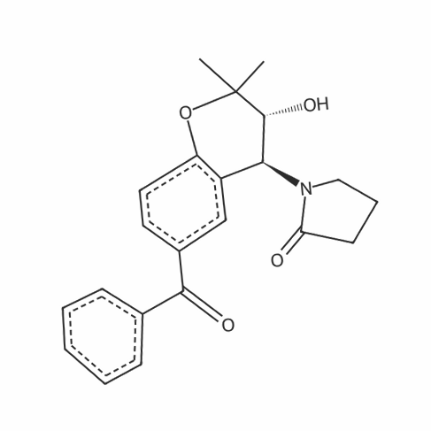 CC1(C)Oc2ccc(C(=O)c3ccccc3)cc2[C@H](N2CCCC2=O)[C@H]1O